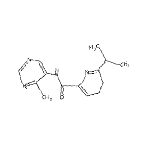 Cc1ncncc1NC(=O)C1=CCCC(C(C)C)=N1